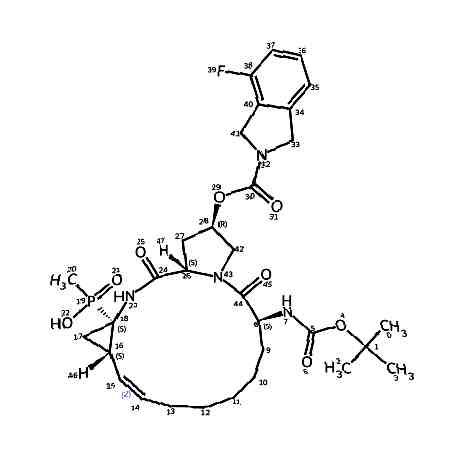 CC(C)(C)OC(=O)N[C@H]1CCCCC/C=C\[C@@H]2C[C@@]2(P(C)(=O)O)NC(=O)[C@@H]2C[C@@H](OC(=O)N3Cc4cccc(F)c4C3)CN2C1=O